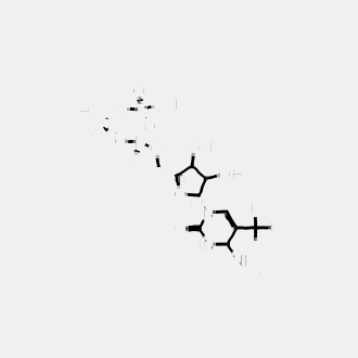 NC1NC(=O)N([C@@H]2O[C@H](COP3(=O)OP(=O)(O)OP(=O)(O)O3)C(O)C2O)C=C1C(F)(F)F